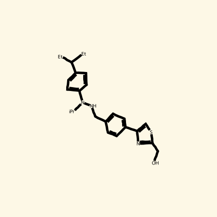 CCC(CC)c1ccc(N(NCc2ccc(-c3csc(CO)n3)cc2)C(C)C)cc1